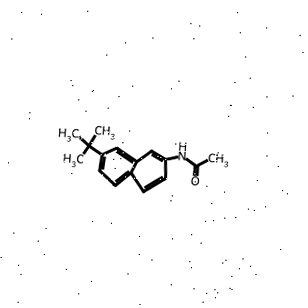 CC(=O)Nc1ccc2ccc(C(C)(C)C)cc2c1